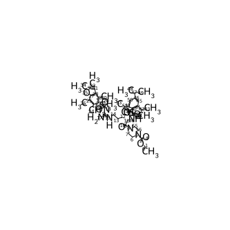 CCOC(=O)N1CCN(C(=O)[C@H](CCCN/C(N)=N/S(=O)(=O)c2c(C)c(C)c3c(c2C)CC(C)(C)O3)NS(=O)(=O)c2c(C(C)C)cc(C(C)C)cc2C(C)C)CC1